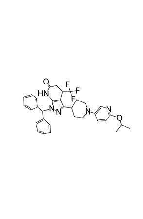 CC(C)Oc1ccc(N2CCC(c3nn(C(c4ccccc4)c4ccccc4)c4c3C(C(F)(F)F)CC(=O)N4)CC2)cn1